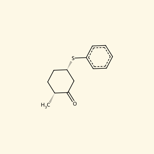 C[C@@H]1CC[C@H](Sc2ccccc2)CC1=O